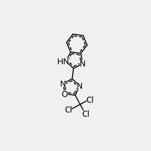 ClC(Cl)(Cl)c1nc(-c2nc3ccccc3[nH]2)no1